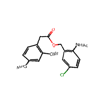 COc1ccc(CC(=O)OCc2cc(Cl)ccc2NC(C)=O)c(OC)c1